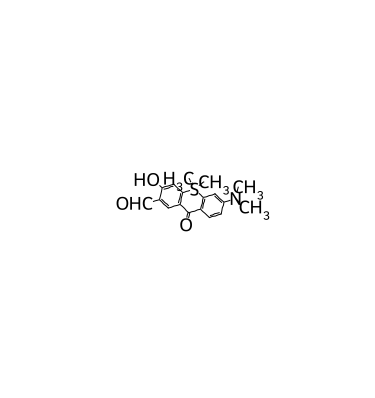 CN(C)c1ccc2c(c1)S(C)(C)c1cc(O)c(C=O)cc1C2=O